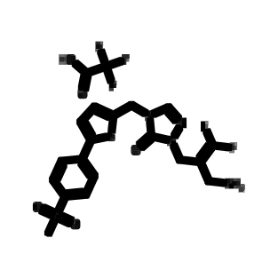 CS(=O)(=O)c1ccc(-c2ccc(Cn3cnn(CC(CN)=C(F)F)c3=O)s2)cc1.O=C(O)C(F)(F)F